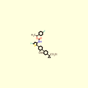 CCOC(=O)C1(c2ccc(-c3ccc(-c4sc(F)cc4NC(=O)OC(C)c4ccc(F)cc4)cc3OC)cc2)CC1